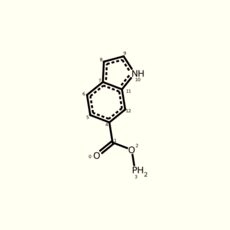 O=C(OP)c1ccc2cc[nH]c2c1